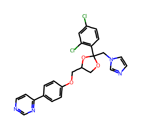 Clc1ccc(C2(Cn3ccnc3)OCC(COc3ccc(-c4ccncn4)cc3)O2)c(Cl)c1